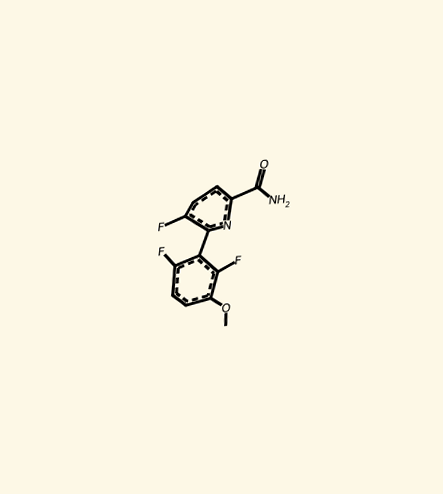 COc1ccc(F)c(-c2nc(C(N)=O)ccc2F)c1F